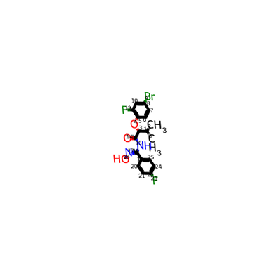 CC(C)C(Oc1ccc(Br)cc1F)C(=O)NC(=NO)c1ccc(F)cc1